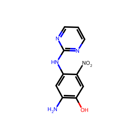 Nc1cc(Nc2ncccn2)c([N+](=O)[O-])cc1O